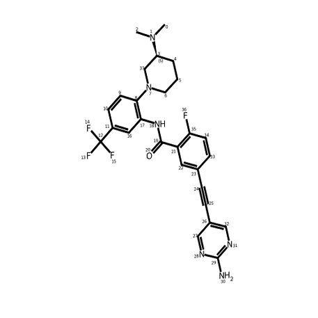 CN(C)[C@H]1CCCN(c2ccc(C(F)(F)F)cc2NC(=O)c2cc(C#Cc3cnc(N)nc3)ccc2F)C1